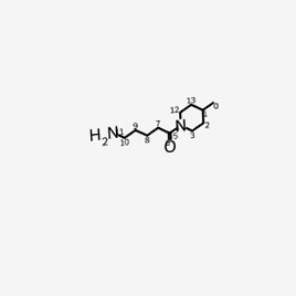 CC1CCN(C(=O)CCCCN)CC1